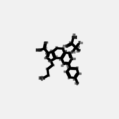 NCCCn1nc(C(=O)O)c2c1-c1nc(-c3ccc(F)cc3)ncc1CC2.O=C(O)C(F)(F)F